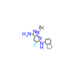 CC(=O)Cn1nc(N)c2cc(F)c(Nc3cccc4c3CCC4)nc21